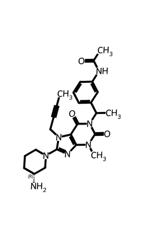 CC#CCn1c(N2CCC[C@@H](N)C2)nc2c1c(=O)n(C(C)c1cccc(NC(C)=O)c1)c(=O)n2C